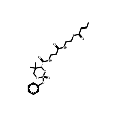 C/C=C/C(=O)SCCNC(=O)CCNC(=O)[C@@H]1OP(=O)(Oc2ccccc2)OCC1(C)C